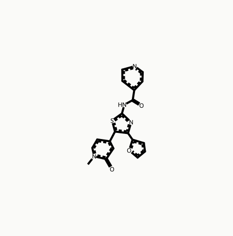 Cn1ccc(-c2sc(NC(=O)c3ccncc3)nc2-c2ccco2)cc1=O